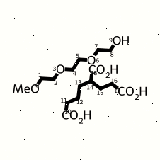 COCCOCCOCCO.O=C(O)CCCC(CCC(=O)O)C(=O)O